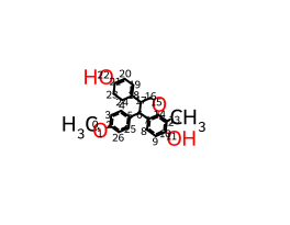 COc1ccc(C2c3ccc(O)c(C)c3OCC2C2=CC=C(O)CC2)cc1